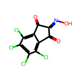 O=c1c(=NO)c(=O)c2c(Cl)c(Cl)c(Cl)c(Cl)c12